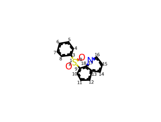 O=S(=O)(c1ccccc1)c1cccc2cccnc12